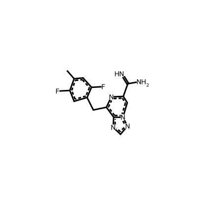 Cc1cc(F)c(Cc2nc(C(=N)N)cn3ncnc23)cc1F